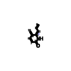 C=C/C=c1/[nH]c(=O)ccc1=C